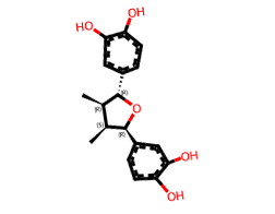 C[C@@H]1[C@H](C)[C@H](c2ccc(O)c(O)c2)O[C@H]1c1ccc(O)c(O)c1